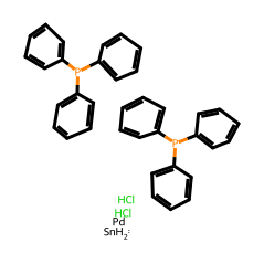 Cl.Cl.[Pd].[SnH2].c1ccc(P(c2ccccc2)c2ccccc2)cc1.c1ccc(P(c2ccccc2)c2ccccc2)cc1